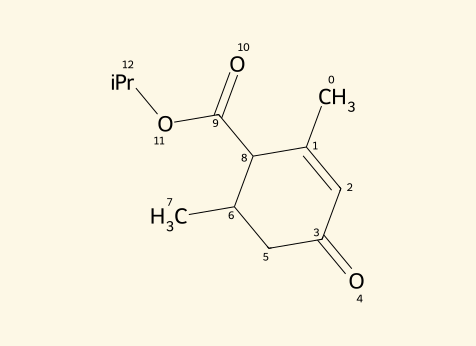 CC1=CC(=O)CC(C)C1C(=O)OC(C)C